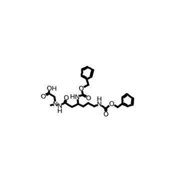 CN(CC(=O)O)NC(=O)CC(CCCNC(=O)OCc1ccccc1)NC(=O)OCc1ccccc1